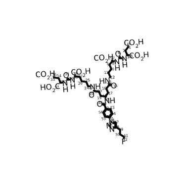 O=C(O)CCC(NC(=O)NC(CCCCNC(=O)CCC(CCC(=O)NCCCCC(NC(=O)NC(CCC(=O)O)C(=O)O)C(=O)O)NC(=O)c1ccc(-n2cc(CCCF)nn2)cc1)C(=O)O)C(=O)O